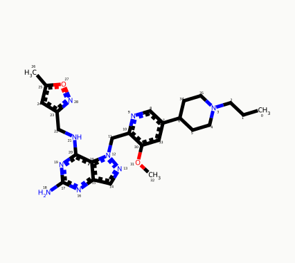 CCCN1CCC(c2cnc(Cn3ncc4nc(N)nc(NCc5cc(C)on5)c43)c(OC)c2)CC1